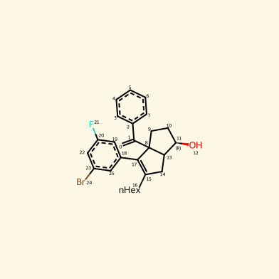 C=C(c1ccccc1)C12CC[C@@H](O)C1CC(CCCCCC)=C2c1cc(F)cc(Br)c1